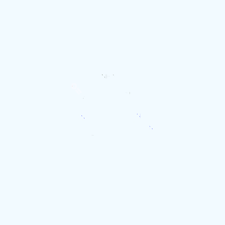 CCc1[nH]c(=O)c(NC(C)=O)c(CC)c1-c1cccnn1